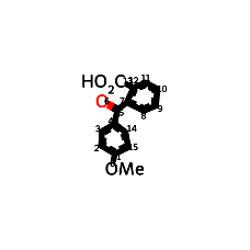 COc1ccc(C(=O)c2ccccc2C(=O)O)cc1